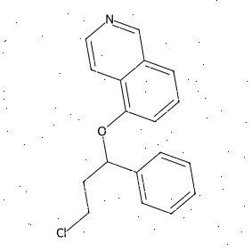 ClCCC(Oc1cccc2cnccc12)c1ccccc1